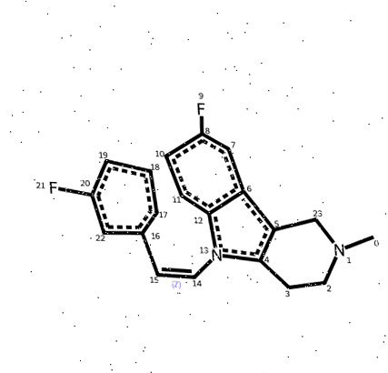 CN1CCc2c(c3cc(F)ccc3n2/C=C\c2cccc(F)c2)C1